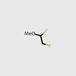 [CH2]OC(F)CF